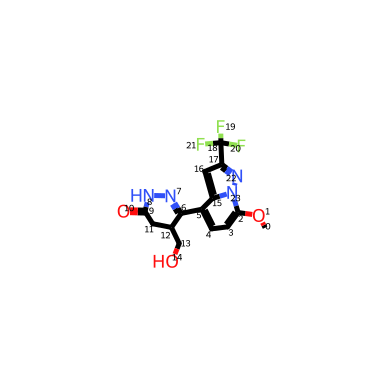 COc1ccc(C2=NNC(=O)CC2CO)c2cc(C(F)(F)F)nn12